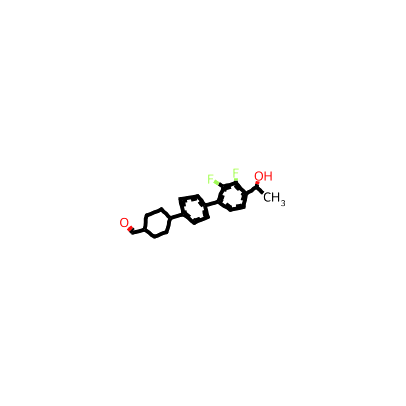 CC(O)c1ccc(-c2ccc(C3CCC(C=O)CC3)cc2)c(F)c1F